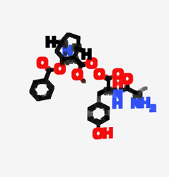 COC(=O)[C@H]1[C@@H](OC(=O)c2ccccc2)C[C@@H]2CC[C@H]1N2C.C[C@H](N)C(=O)N[C@@H](Cc1ccc(O)cc1)C(=O)O